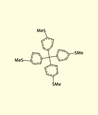 CSc1ccc(C(c2ccc(SC)cc2)(c2ccc(SC)cc2)c2ccc(SC)cc2)cc1